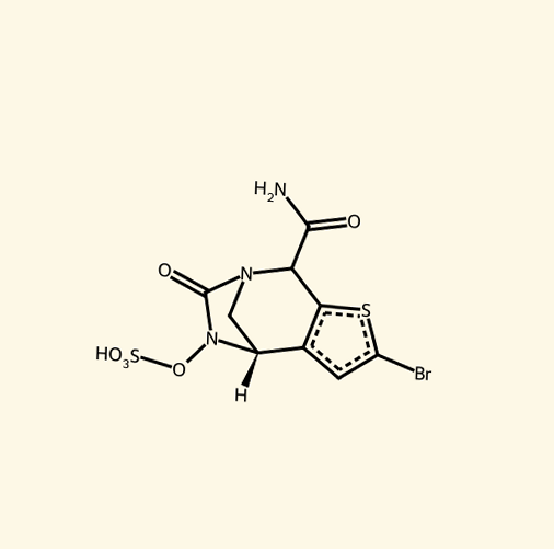 NC(=O)C1c2sc(Br)cc2[C@H]2CN1C(=O)N2OS(=O)(=O)O